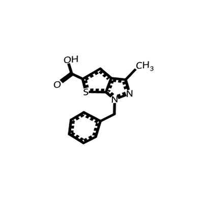 Cc1nn(Cc2ccccc2)c2sc(C(=O)O)cc12